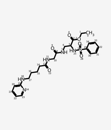 CCOC(=O)C(CNC(=O)CNC(=O)CCCCNc1ccccn1)NS(=O)(=O)c1ccccc1